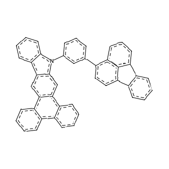 c1cc(-c2ccc3c4c(cccc24)-c2ccccc2-3)cc(-n2c3ccccc3c3cc4c5ccccc5c5ccccc5c4cc32)c1